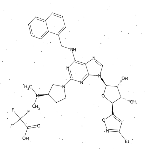 CCc1cc([C@H]2O[C@@H](n3cnc4c(NCc5cccc6ccccc56)nc(N5CC[C@@H](N(C)C)C5)nc43)[C@H](O)[C@@H]2O)on1.O=C(O)C(F)(F)F